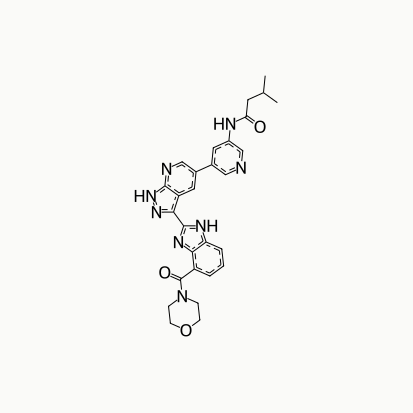 CC(C)CC(=O)Nc1cncc(-c2cnc3[nH]nc(-c4nc5c(C(=O)N6CCOCC6)cccc5[nH]4)c3c2)c1